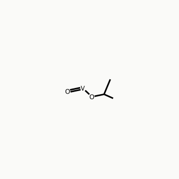 CC(C)[O][V]=[O]